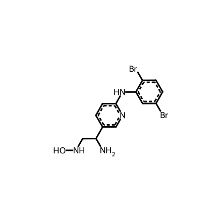 NC(CNO)c1ccc(Nc2cc(Br)ccc2Br)nc1